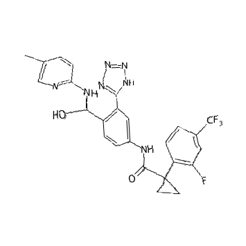 Cc1ccc(NC(O)c2ccc(NC(=O)C3(c4ccc(C(F)(F)F)cc4F)CC3)cc2-c2nnn[nH]2)nc1